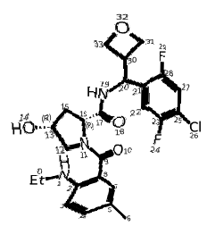 CCNc1ccc(C)cc1C(=O)N1C[C@H](O)C[C@@H]1C(=O)NC(c1cc(F)c(Cl)cc1F)C1COC1